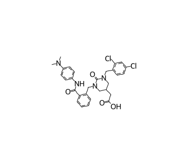 CN(C)c1ccc(NC(=O)c2ccccc2CN2CC(CC(=O)O)CN(Cc3ccc(Cl)cc3Cl)C2=O)cc1